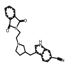 N#Cc1ccc2c(CC3CCN(CCN4C(=O)c5ccccc5C4=O)C3)c[nH]c2c1